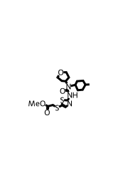 COC(=O)CSc1cnc(NC(=O)N(C2CCOCC2)C2CCC(C)CC2)s1